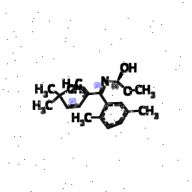 C=C(/C=C\C(C)(C)C)/C(=N/[C@@H](O)OC)c1cc(C)ccc1C